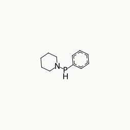 c1ccc(PN2CCCCC2)cc1